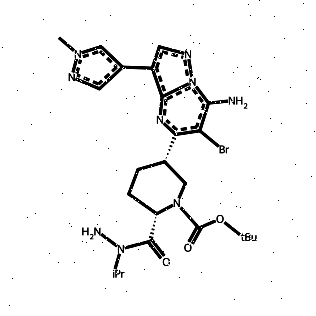 CC(C)N(N)C(=O)[C@@H]1CC[C@H](c2nc3c(-c4cnn(C)c4)cnn3c(N)c2Br)CN1C(=O)OC(C)(C)C